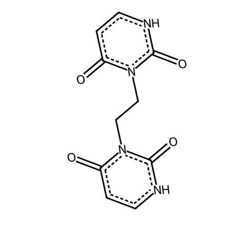 O=c1cc[nH]c(=O)n1CCn1c(=O)cc[nH]c1=O